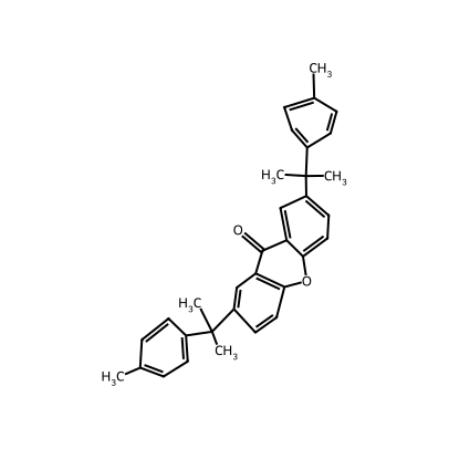 Cc1ccc(C(C)(C)c2ccc3oc4ccc(C(C)(C)c5ccc(C)cc5)cc4c(=O)c3c2)cc1